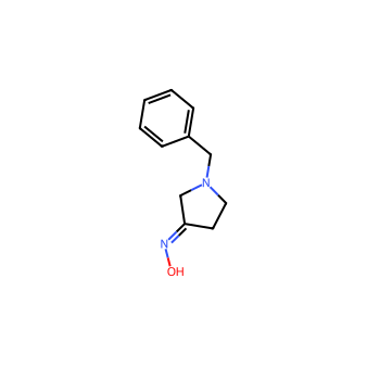 O/N=C1\CCN(Cc2ccccc2)C1